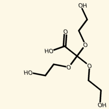 O=C(O)C(OCCO)(OCCO)OCCO